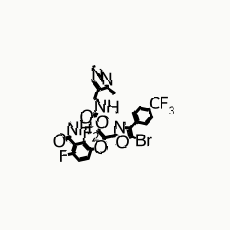 Cc1nn(C)cc1CNC(=O)OCC(Oc1ccc(F)c(C(N)=O)c1F)c1nc(-c2ccc(C(F)(F)F)cc2)c(Br)o1